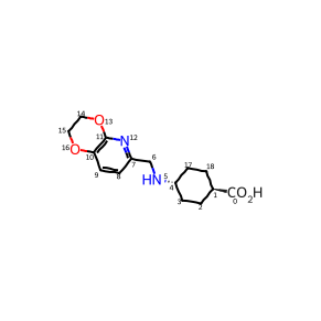 O=C(O)[C@H]1CC[C@H](NCc2ccc3c(n2)OCCO3)CC1